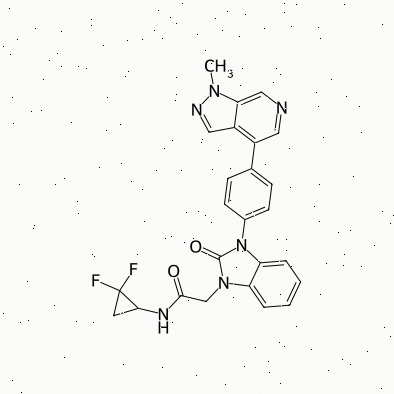 Cn1ncc2c(-c3ccc(-n4c(=O)n(CC(=O)NC5CC5(F)F)c5ccccc54)cc3)cncc21